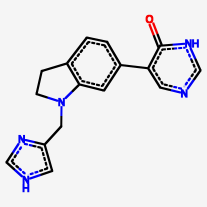 O=c1[nH]cncc1-c1ccc2c(c1)N(Cc1c[nH]cn1)CC2